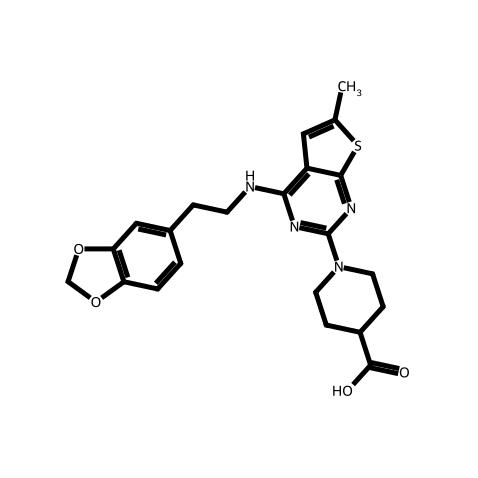 Cc1cc2c(NCCc3ccc4c(c3)OCO4)nc(N3CCC(C(=O)O)CC3)nc2s1